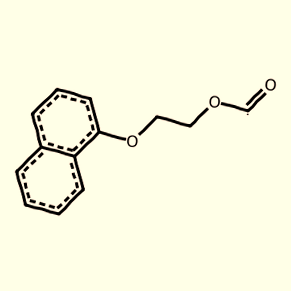 O=[C]OCCOc1cccc2ccccc12